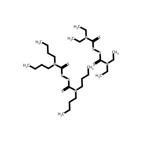 CCCCN(CCCC)C(=S)SSC(=S)N(CCCC)CCCC.CCN(CC)C(=S)SSC(=S)N(CC)CC